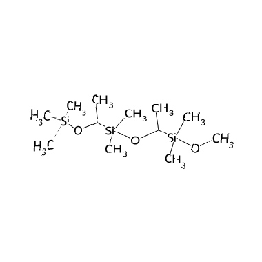 CO[Si](C)(C)C(C)O[Si](C)(C)C(C)O[Si](C)(C)C